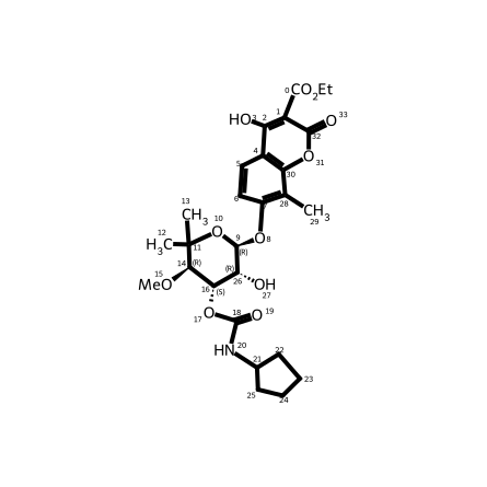 CCOC(=O)c1c(O)c2ccc(O[C@@H]3OC(C)(C)[C@H](OC)[C@@H](OC(=O)NC4CCCC4)[C@H]3O)c(C)c2oc1=O